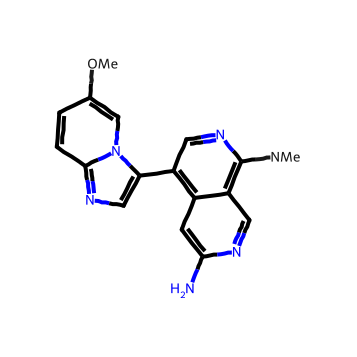 CNc1ncc(-c2cnc3ccc(OC)cn23)c2cc(N)ncc12